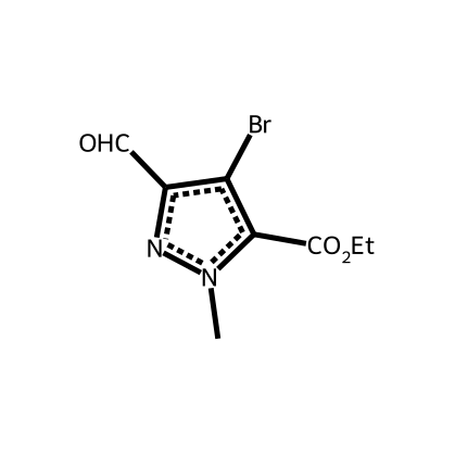 CCOC(=O)c1c(Br)c(C=O)nn1C